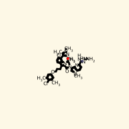 Cc1cc(OCCCc2c3n(c4c(-c5c(C)nn(C)c5C)c(Cl)ccc24)[C@H](C)CN(c2cn(C)c4ccc(/C(N)=N/NN)nc24)C3=O)cc(C)c1Cl